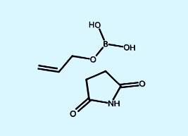 C=CCOB(O)O.O=C1CCC(=O)N1